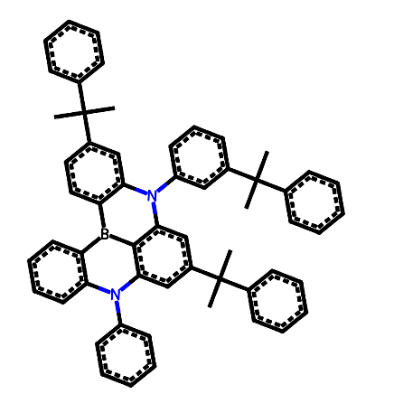 CC(C)(c1ccccc1)c1cccc(N2c3cc(C(C)(C)c4ccccc4)ccc3B3c4ccccc4N(c4ccccc4)c4cc(C(C)(C)c5ccccc5)cc2c43)c1